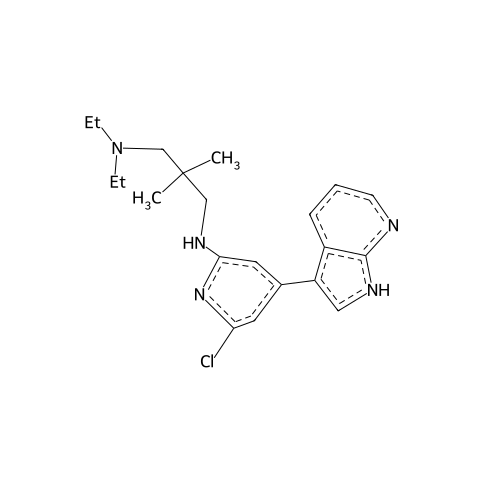 CCN(CC)CC(C)(C)CNc1cc(-c2c[nH]c3ncccc23)cc(Cl)n1